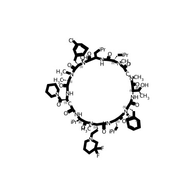 CC(C)CC1NC(=O)[C@H](CC(C)C)N(C)C(=O)CN(C)C(=O)[C@H]([C@@H](C)O)NC(=O)[C@H](Cc2ccccc2)N(C)C(=O)[C@H](CC(C)C)NC(=O)[C@H](CCN2CCCC(F)(F)C2)N(C)C(=O)[C@@H](C(C)C)NC(=O)C[C@@H](C(=O)N2CCCCC2)NC(=O)[C@H](C)N(C)C(=O)[C@H](Cc2cccc(Cl)c2)N(C)C1=O